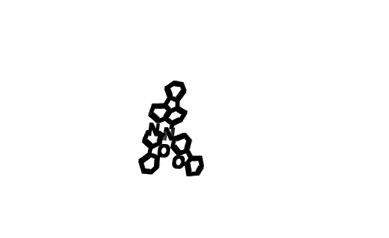 c1ccc2c(c1)-c1cccc3c(N(c4ccc5c(c4)oc4ccccc45)c4nccc5c4oc4ccccc45)ccc-2c13